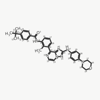 Cc1c(NC(=O)c2ccc(C(C)(C)C)cc2)cccc1-c1nccn2nc(Nc3ccc(N4CCOCC4)cc3)nc12